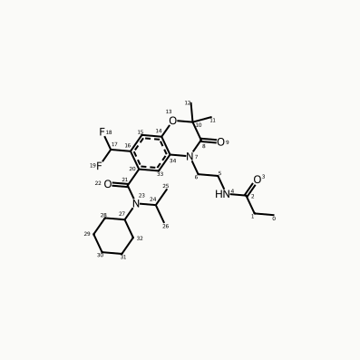 CCC(=O)NCCN1C(=O)C(C)(C)Oc2cc(C(F)F)c(C(=O)N(C(C)C)C3CCCCC3)cc21